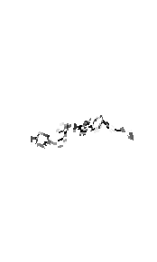 Cc1ccc(S(=O)(=O)NCC(=O)Oc2ccc(I)cc2)cc1